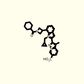 Cc1c(-c2cc3cccc(C4CN(C(=O)C5CCCCC5)C4)c3n2CC2CC2)nn2cc(C(=O)O)ccc12